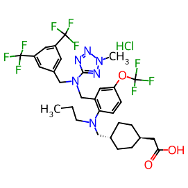 CCCN(C[C@H]1CC[C@H](CC(=O)O)CC1)c1ccc(OC(F)(F)F)cc1CN(Cc1cc(C(F)(F)F)cc(C(F)(F)F)c1)c1nnn(C)n1.Cl